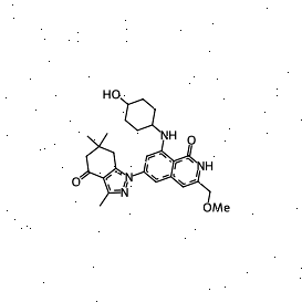 COCc1cc2cc(-n3nc(C)c4c3CC(C)(C)CC4=O)cc(NC3CCC(O)CC3)c2c(=O)[nH]1